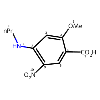 CCCNc1cc(OC)c(C(=O)O)cc1[N+](=O)[O-]